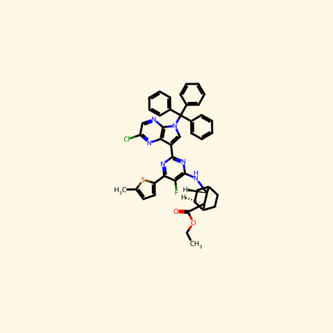 CCOC(=O)[C@@H]1C2CCC(CC2)[C@H]1Nc1nc(-c2cn(C(c3ccccc3)(c3ccccc3)c3ccccc3)c3ncc(Cl)nc23)nc(-c2ccc(C)s2)c1F